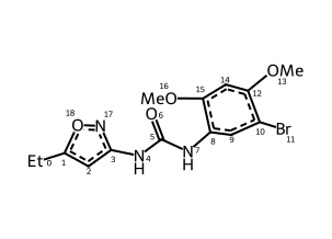 CCc1cc(NC(=O)Nc2cc(Br)c(OC)cc2OC)no1